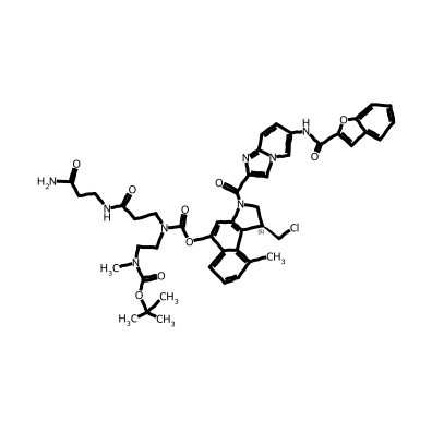 Cc1cccc2c(OC(=O)N(CCC(=O)NCCC(N)=O)CCN(C)C(=O)OC(C)(C)C)cc3c(c12)[C@H](CCl)CN3C(=O)c1cn2cc(NC(=O)c3cc4ccccc4o3)ccc2n1